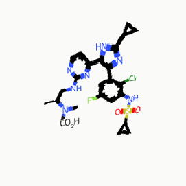 C[C@@H](CNc1nccc(-c2[nH]c(C3CC3)nc2-c2cc(F)cc(NS(=O)(=O)C3CC3)c2Cl)n1)N(C)C(=O)O